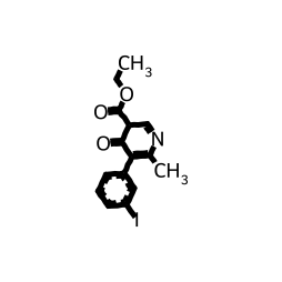 CCOC(=O)C1C=NC(C)=C(c2cccc(I)c2)C1=O